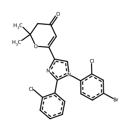 CC1(C)CC(=O)C=C(c2cn(-c3ccc(Br)cc3Cl)c(-c3ccccc3Cl)n2)O1